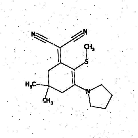 CSC1=C(N2CCCC2)CC(C)(C)CC1=C(C#N)C#N